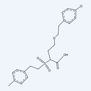 Cc1ccc(CCS(=O)(=O)C(CCOCCc2ccc(Cl)cc2)C(=O)O)cc1